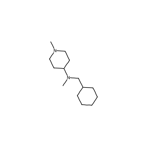 CN1CCC(N(C)CC2CCCCC2)CC1